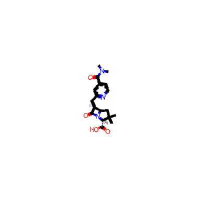 CN(C)C(=O)c1ccnc(/C=C2/C(=O)N3C2CC(C)(C)[C@@H]3C(=O)O)c1